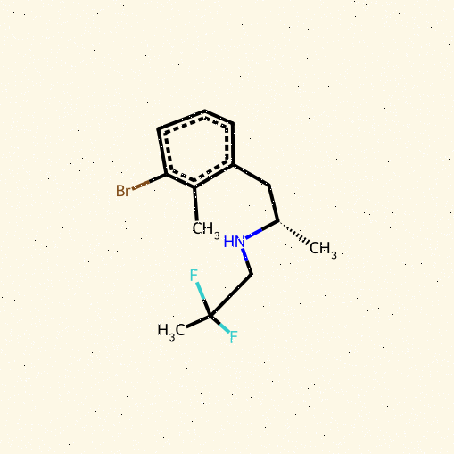 Cc1c(Br)cccc1C[C@H](C)NCC(C)(F)F